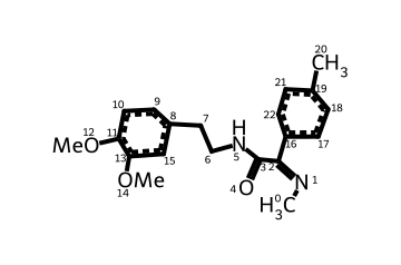 C/N=C(\C(=O)NCCc1ccc(OC)c(OC)c1)c1ccc(C)cc1